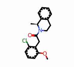 COc1cccc(Cl)c1CC(=O)N1CCc2ccccc2[C@@H]1C